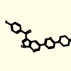 O=C(c1ccc(F)cc1)c1c[nH]c2ncc(-c3ccc(N4CCNCC4)nc3)cc12